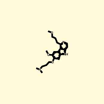 COCCCc1nccc2[nH]c3cc(OCCCN(C)C)c(OC)cc3c12